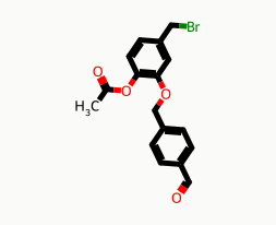 CC(=O)Oc1ccc(CBr)cc1OCc1ccc(C=O)cc1